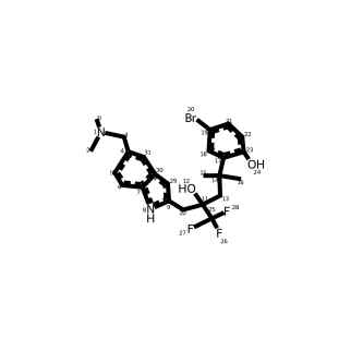 CN(C)Cc1ccc2[nH]c(CC(O)(CC(C)(C)c3cc(Br)ccc3O)C(F)(F)F)cc2c1